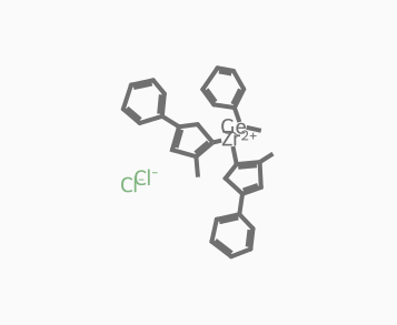 CC1=[C]([Zr+2]([C]2=C(C)C=C(c3ccccc3)C2)=[Ge]([CH3])[c]2ccccc2)CC(c2ccccc2)=C1.[Cl-].[Cl-]